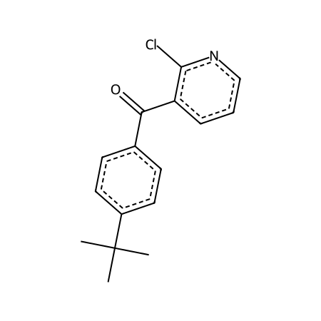 CC(C)(C)c1ccc(C(=O)c2cccnc2Cl)cc1